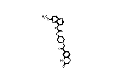 COc1ccc2nccc(NC(=O)OC3CCN(CC(=O)c4ccc5c(c4)NC(=O)CS5)CC3)c2n1